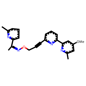 COc1cc(C)nc(-c2cccc(C#CCON=C(C)c3cccc(C)n3)n2)c1